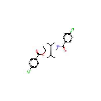 CC(C)C(CNC(=O)c1ccc(Cl)cc1)(C(C)C)C(C)OC(=O)c1ccc(Cl)cc1